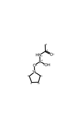 CC(=O)NB(O)ON1CCCC1